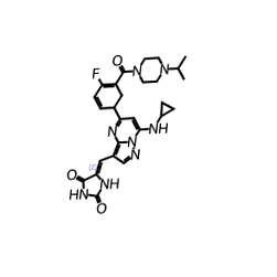 CC(C)N1CCN(C(=O)C2=C(F)C=CC(c3cc(NC4CC4)n4ncc(/C=C5\NC(=O)NC5=O)c4n3)C2)CC1